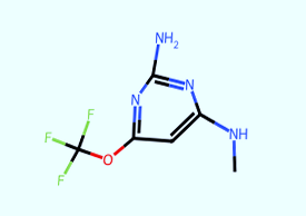 CNc1cc(OC(F)(F)F)nc(N)n1